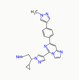 Cn1cc(-c2ccc(-c3cc4nccn4c(-c4cnn(C(CC#N)C5CC5)c4)n3)cc2)cn1